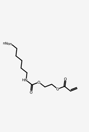 C=CC(=O)OCCOC(=O)NCCCCCCCCCCCCCC